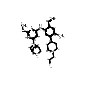 COc1nc(Nc2cc(C3CCN(CCF)CC3)c(C)cc2C=N)cc(N2CC3CC2CO3)n1